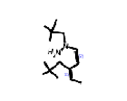 C/C=C(\C=C/N(N)CC(C)(C)C)CC(C)(C)C